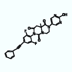 CC12CC(=O)N(c3c(F)cc(C#Cc4ccccc4)cc3F)C(=O)N1CCN(c1cnc(O)nc1)C2=O